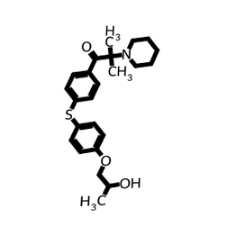 CC(O)COc1ccc(Sc2ccc(C(=O)C(C)(C)N3CCCCC3)cc2)cc1